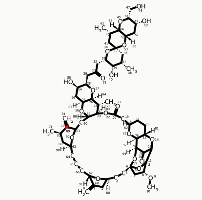 C=C1C[C@@H]2CC[C@]34C[C@@H](OC)C(O3)C3O[C@H]5CC[C@H](CC(=O)O[C@@H]6[C@@H](C)[C@@H]7O[C@H](CC(=O)C[C@@H]8O[C@@]9(C[C@H](C)[C@@H]8O)C[C@H](C)[C@@H]8O[C@H](CO)[C@H](O)C[C@@H]8O9)[C@H](O)C[C@@H]7O[C@H]6C[C@H]6O[C@@H](CCC[C@@H]1O2)C[C@@H](C)C6=C)O[C@@H]5[C@H](O4)C3C